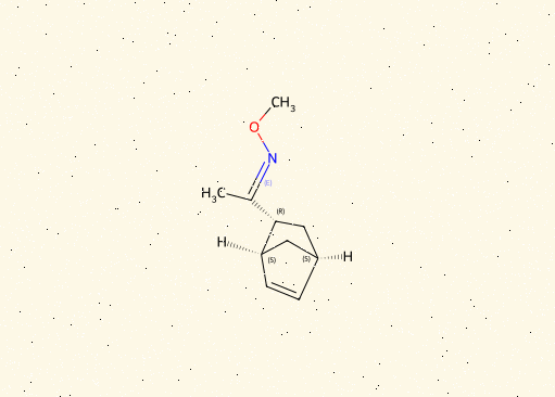 CO/N=C(\C)[C@@H]1C[C@H]2C=C[C@@H]1C2